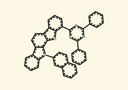 c1ccc(-c2nc(-c3ccccc3)nc(-c3cccc4c3oc3c4ccc4c5ccccc5n(-c5ccc6ccccc6c5)c43)n2)cc1